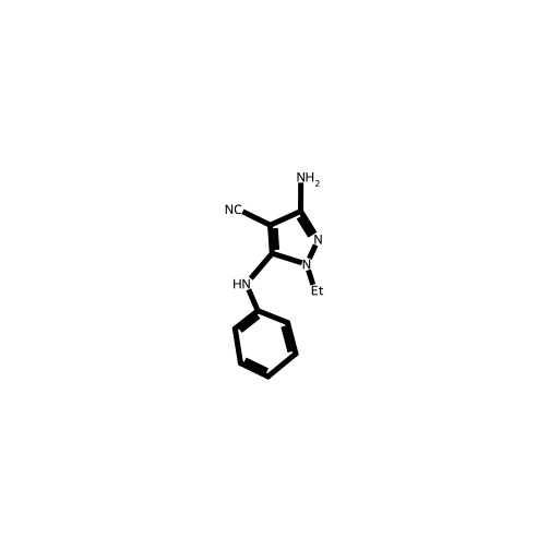 CCn1nc(N)c(C#N)c1Nc1ccccc1